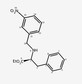 CCOC(=O)[C@H](Cc1ccccc1)NCc1cccc([N+](=O)[O-])c1